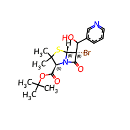 CC(C)(C)OC(=O)[C@@H]1N2C(=O)[C@](Br)(C(O)c3cccnc3)[C@H]2SC1(C)C